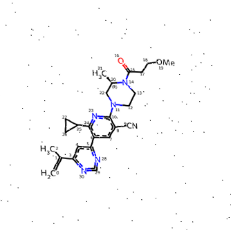 C=C(C)c1cc(-c2cc(C#N)c(N3CCN(C(=O)CCOC)[C@H](C)C3)nc2C2CC2)ncn1